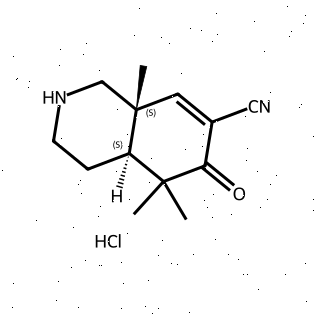 CC1(C)C(=O)C(C#N)=C[C@@]2(C)CNCC[C@H]12.Cl